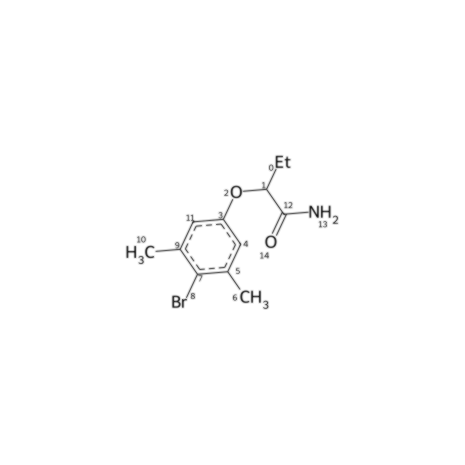 CCC(Oc1cc(C)c(Br)c(C)c1)C(N)=O